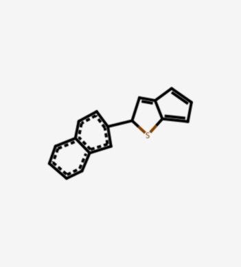 C1=CC2=CC(c3ccc4ccccc4c3)SC2=C1